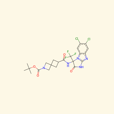 CC(C)(C)OC(=O)N1CC2(CC(C(=O)NC3(C(F)(F)F)C(=O)Nc4nc5cc(Cl)c(Cl)cc5n43)C2)C1